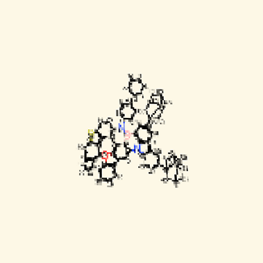 c1ccc(-c2ccc(N3B4c5c(cc6c(oc7ccccc76)c5-c5c3ccc3sc6cc7ccccc7cc6c53)-n3c5ccc(C67CC8CC(CC(C8)C6)C7)cc5c5cc(C67CC8CC(CC(C8)C6)C7)cc4c53)cc2)cc1